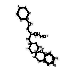 Cl.O[C@H](COC1CCCCC1)CN1CCC2(CCc3ccccc3O2)CC1